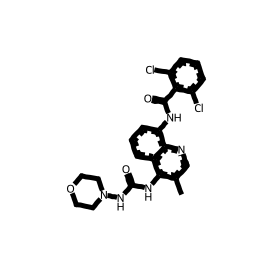 Cc1cnc2c(NC(=O)c3c(Cl)cccc3Cl)cccc2c1NC(=O)NN1CCOCC1